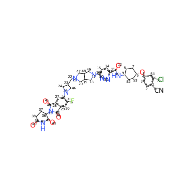 N#Cc1ccc(O[C@H]2CC[C@H](NC(=O)c3ccc(N4CC5CN(CC6CN(c7cc8c(cc7F)C(=O)N(C7CCC(=O)NC7=O)C8=O)C6)CC5C4)nn3)CC2)cc1Cl